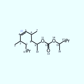 CC(C)CC(C)/C=C\C(C)CC(C)OC(=O)OC(C)C(C)C